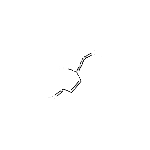 C=C=C(O)/C=C\C=N